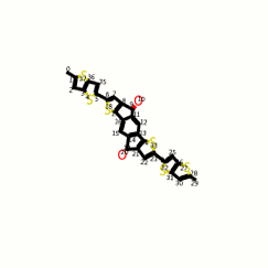 Cc1cc2sc(-c3cc4c(=O)c5cc6c(cc5c4s3)c(=O)c3cc(-c4cc5sc(C)cc5s4)sc36)cc2s1